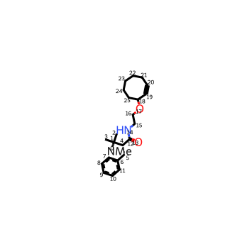 CNC(C)(C)[C@@H](Cc1ccccc1)C(=O)NCCOC1C#CCCCCC1